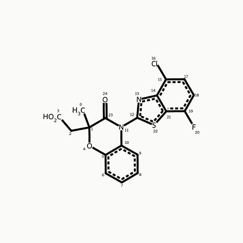 CC1(CC(=O)O)Oc2ccccc2N(c2nc3c(Cl)ccc(F)c3s2)C1=O